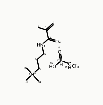 C=C(C)C(=O)NCCC[N+](C)(C)C.O=[PH](O)O.[Cl-]